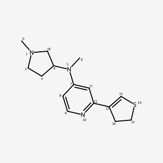 CN1CCC(N(C)c2ccnc(C3=CSCC3)c2)C1